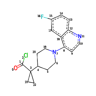 O=C(Cl)C1(C2CCN(c3ccnc4ccc(F)cc34)CC2)CC1